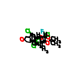 CC1(C)O[C@@H]2C[C@H]3[C@@H]4C[C@H](Cl)C5=CC(=O)CC[C@]5(C)[C@@]4(Cl)[C@@H](Cl)C[C@]3(C)[C@]2(C(=O)C(F)Cl)O1